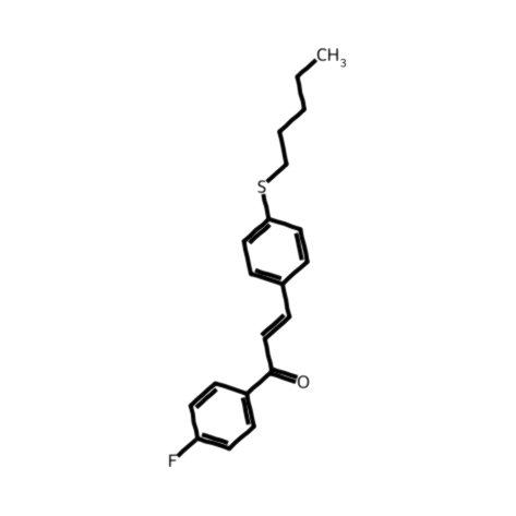 CCCCCSc1ccc(C=CC(=O)c2ccc(F)cc2)cc1